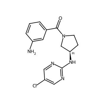 Nc1cccc(C(=O)N2CC[C@@H](Nc3ncc(Cl)cn3)C2)c1